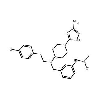 C[S+]([O-])Nc1cccc(CN(CCc2ccc(Cl)cc2)C2CCN(c3nc(N)n[nH]3)CC2)c1